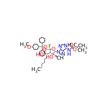 C#CC1(O)C(n2cnc3c(NC(=O)OC(C)(C)C)ncnc32)OC(F)(COC(c2ccccc2)(c2ccccc2)c2ccc(OC)cc2)C1[C@H](CCCCCC)C(=O)O